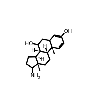 C[C@]12C=CC(O)=CC1CC(O)[C@@H]1[C@H]2CC[C@]2(C)C(N)CC[C@@H]12